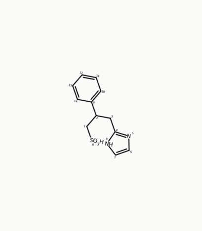 O=S(=O)(O)CC(Cc1ncc[nH]1)c1ccccc1